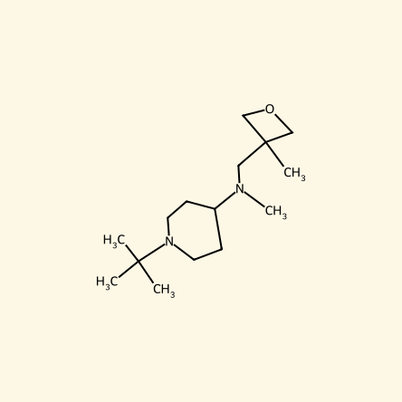 CN(CC1(C)COC1)C1CCN(C(C)(C)C)CC1